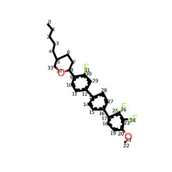 CCCCCC1CCC(c2ccc(-c3ccc(-c4ccc(OC)c(F)c4F)cc3)cc2F)OC1